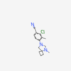 Cc1c(N2CN(C)C3(CCC3)C2)ccc(C#N)c1Cl